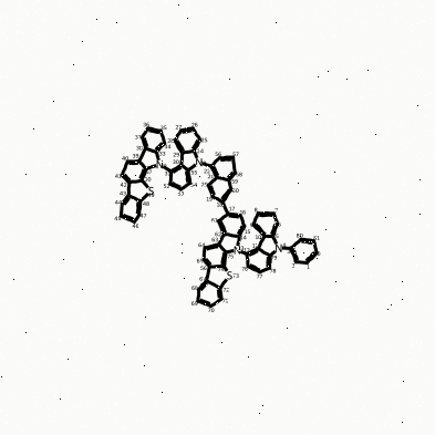 c1ccc(-n2c3ccccc3c3c(-n4c5ccc(-c6ccc7c(-n8c9ccccc9c9c(-n%10c%11ccccc%11c%11ccc%12c%13ccccc%13sc%12c%11%10)cccc98)cccc7c6)cc5c5ccc6c7ccccc7sc6c54)cccc32)cc1